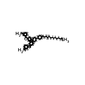 CCCCCCCCCCCCCC[C@H]1CC[C@@H](C2CCC(c3ccc(Oc4cccc(N)c4)cc3)(c3ccc(Oc4cccc(N)c4)cc3)CC2)CC1